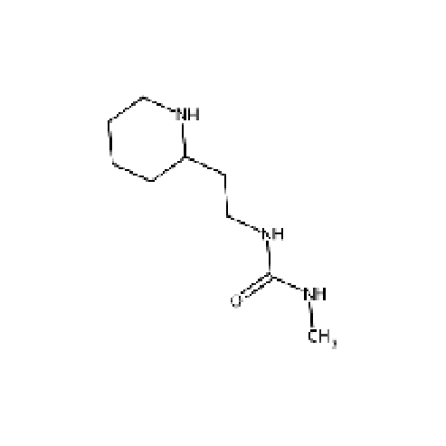 CNC(=O)NCCC1CCCCN1